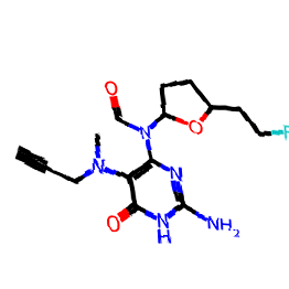 C#CCN(C)c1c(N(C=O)C2CCC(CCF)O2)nc(N)[nH]c1=O